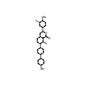 CCCCc1ccc(-c2cc3ccc(-c4ccc(-c5ccc(CCC)cc5)cc4)c(F)c3c(=O)o2)cc1F